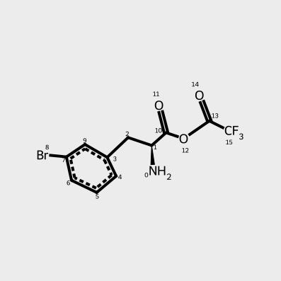 N[C@@H](Cc1cccc(Br)c1)C(=O)OC(=O)C(F)(F)F